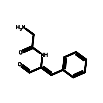 NCC(=O)NC([C]=O)=Cc1ccccc1